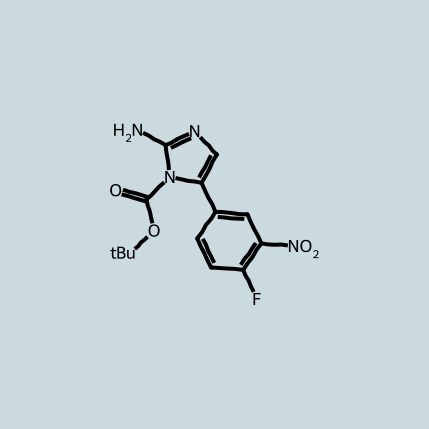 CC(C)(C)OC(=O)n1c(-c2ccc(F)c([N+](=O)[O-])c2)cnc1N